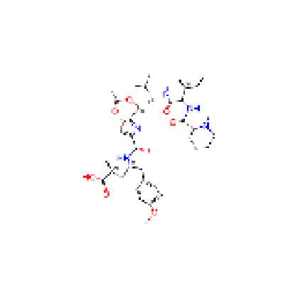 CC[C@H](C)C(NC(=O)C1CCCCN1C)C(=O)N(C)[C@H](C[C@@H](OC(C)=O)c1nc(C(=O)N[C@@H](Cc2ccc(OC)cc2)C[C@H](C)C(=O)O)cs1)C(C)C